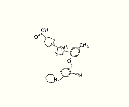 Cc1ccc(OCc2ccc(CN3CCCCC3)cc2C#N)c(C2=CSC(N3CCC(C(=O)O)CC3)N2)c1